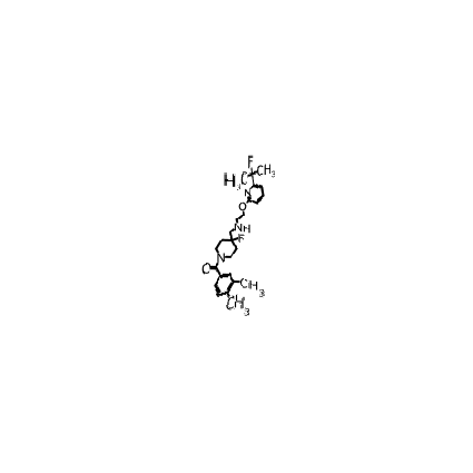 Cc1ccc(C(=O)N2CCC(F)(CNCCOc3cccc(C(C)(C)F)n3)CC2)cc1C